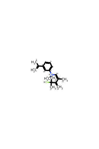 C=C(C)c1cccc(N(C)/C=C(/C)C(=C)C(C)(C)F)c1